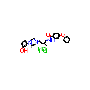 CC(CCN1CCN(c2cccc(O)c2)[C@@H](C)C1)CNC(=O)c1ccc(Oc2ccccc2)cc1.Cl.Cl